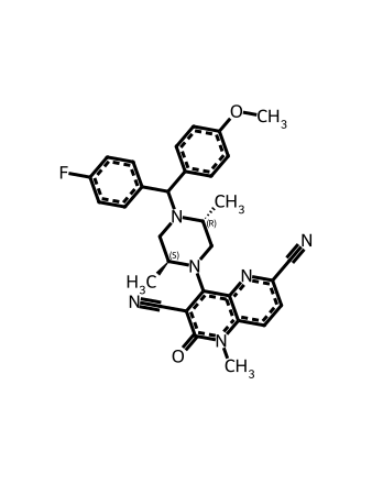 COc1ccc(C(c2ccc(F)cc2)N2C[C@H](C)N(c3c(C#N)c(=O)n(C)c4ccc(C#N)nc34)C[C@H]2C)cc1